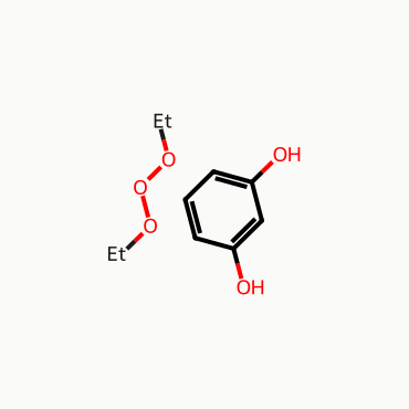 CCOOOCC.Oc1cccc(O)c1